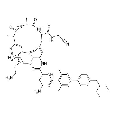 CCC(CC)Cc1ccc(-c2nc(C)c(C(=O)NC(CCN)C(=O)Nc3cc4cc(c3OCCN)-c3cc(ccc3OCCN)C(C)C(=O)NC(C)C(=O)NC(C(=O)NCC#N)C4)c(C)n2)cc1